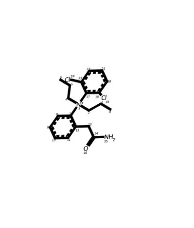 CCC[N+](CCC)(c1ccccc1CC(N)=O)c1c(Cl)cccc1Cl